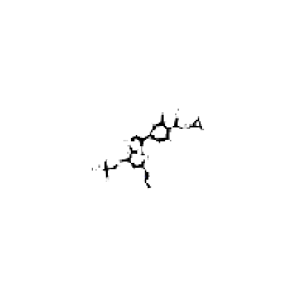 C/C=C/c1cc(NCC(C)(C)O)c2ncc(-c3ccc(C(=O)NC4CC4)c(C)c3)n2n1